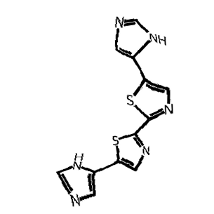 c1ncc(-c2cnc(-c3ncc(-c4cnc[nH]4)s3)s2)[nH]1